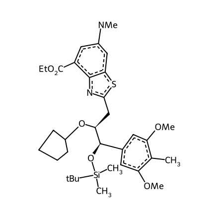 CCOC(=O)c1cc(NC)cc2sc(C[C@H](OC3CCCC3)[C@H](O[Si](C)(C)C(C)(C)C)c3cc(OC)c(C)c(OC)c3)nc12